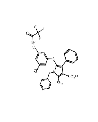 Cc1c(C(=O)O)c(-c2ccccc2)c(Sc2cc(Cl)cc(Cl)c2)n1Cc1ccncc1.O=C(O)C(F)(F)F